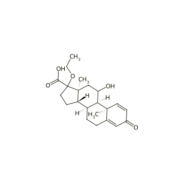 CCOC1(C(=O)O)CC[C@H]2[C@@H]3CCC4=CC(=O)C=C[C@]4(C)[C@@H]3C(O)C[C@@]21C